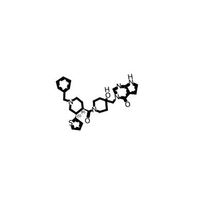 O=C([C@@H]1CCN(Cc2ccccc2)C[C@H]1c1cccs1)N1CCC(O)(Cn2cnc3[nH]ccc3c2=O)CC1